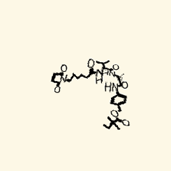 CCC(C)(C)C(=O)OCc1ccc(NC(=O)[C@@H](C)NC(=O)[C@H](NC(=O)CCCCCN2C(=O)C=CC2=O)C(C)C)cc1